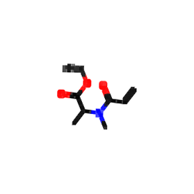 C=CC(=O)N(C)C(C)C(=O)OCCCCCC